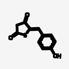 O=C1CC(=O)/C(=C/c2ccc(O)cc2)S1